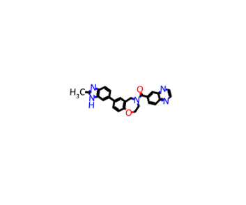 Cc1nc2ccc(-c3ccc4c(c3)CN(C(=O)c3ccc5nccnc5c3)CCO4)cc2[nH]1